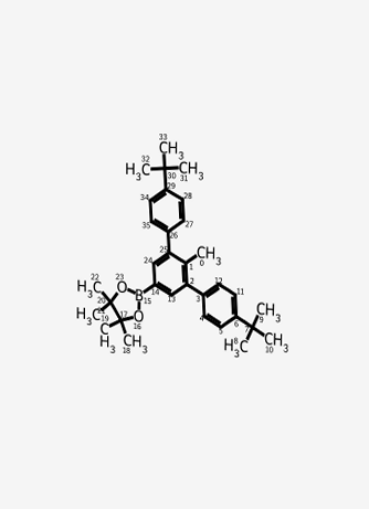 Cc1c(-c2ccc(C(C)(C)C)cc2)cc(B2OC(C)(C)C(C)(C)O2)cc1-c1ccc(C(C)(C)C)cc1